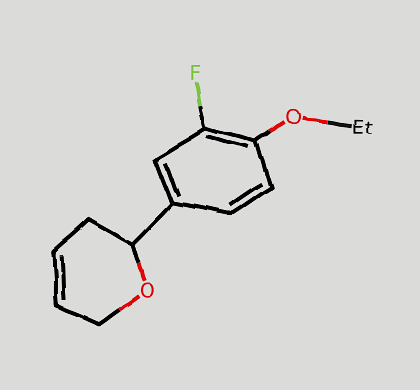 CCOc1ccc(C2CC=CCO2)cc1F